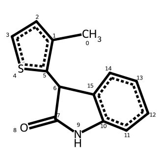 Cc1ccsc1C1C(=O)Nc2ccccc21